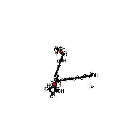 O=C(O)CCOCCOCCOCCOCCOCCOCCOCCOCCNc1nc(Nc2ccc(CC3CN(CC(=O)O)CCN(CC(=O)O)CCN(CC(=O)O)CCN3CC(=O)O)cc2)nc(N2CCN(CCCCCCCCCCC(=O)NCCCC[C@H](NC(=O)NC(CCC(=O)O)C(=O)O)C(=O)O)CC2)n1.[Lu]